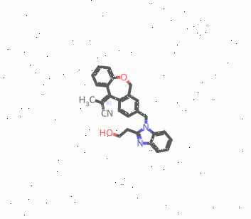 C/C(C#N)=C1/c2ccc(Cn3c(CCO)nc4ccccc43)cc2COc2ccccc21